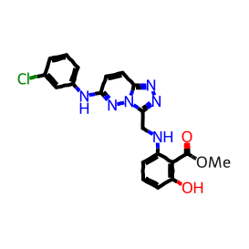 COC(=O)c1c(O)cccc1NCc1nnc2ccc(Nc3cccc(Cl)c3)nn12